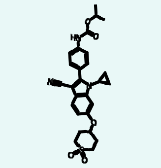 CC(C)OC(=O)Nc1ccc(-c2c(C#N)c3ccc(OC4CCS(=O)(=O)CC4)cc3n2C2CC2)cc1